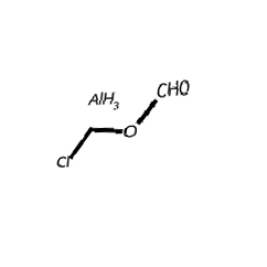 O=COCCl.[AlH3]